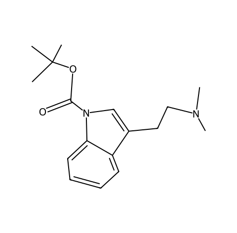 CN(C)CCc1cn(C(=O)OC(C)(C)C)c2ccccc12